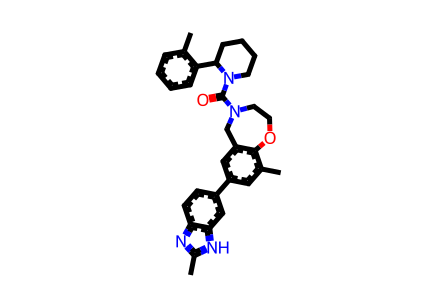 Cc1nc2ccc(-c3cc(C)c4c(c3)CN(C(=O)N3CCCCC3c3ccccc3C)CCO4)cc2[nH]1